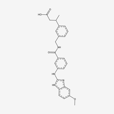 COc1ccc2[nH]c(Nc3cccc(C(=O)NCc4cccc(C(C)CC(=O)O)c4)c3)nc2c1